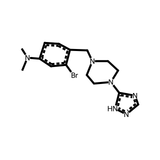 CN(C)c1ccc(CN2CCN(c3ncn[nH]3)CC2)c(Br)c1